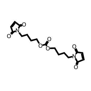 O=C(OCCCCN1C(=O)C=CC1=O)OCCCCN1C(=O)C=CC1=O